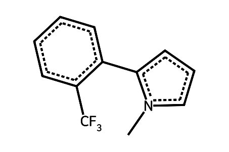 Cn1cccc1-c1ccccc1C(F)(F)F